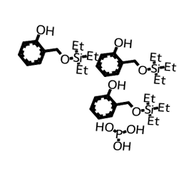 CC[Si](CC)(CC)OCc1ccccc1O.CC[Si](CC)(CC)OCc1ccccc1O.CC[Si](CC)(CC)OCc1ccccc1O.OP(O)O